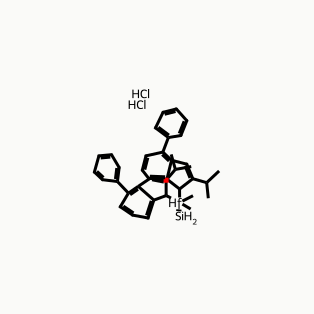 CC(C)C1=Cc2c(-c3ccccc3)cccc2[CH]1[Hf]([CH3])([CH3])(=[SiH2])[CH]1C(C(C)C)=Cc2c(-c3ccccc3)cccc21.Cl.Cl